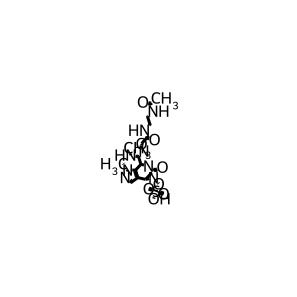 CN/C(=N\OC(=O)NCCNC(C)=O)C1c2c(cnn2C)C2CN1C(=O)N2OS(=O)(=O)O